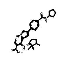 CC1CC[C@@H](Nc2c(C(N)=O)cnn3cc(-c4ccc(C(=O)NC5CCCC5)cc4)cc23)C1(C)C